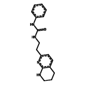 O=C(NCCc1ccc2c(n1)NCCC2)Nc1ccccc1